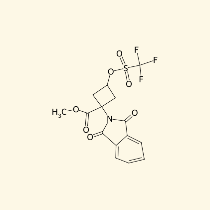 COC(=O)C1(N2C(=O)c3ccccc3C2=O)CC(OS(=O)(=O)C(F)(F)F)C1